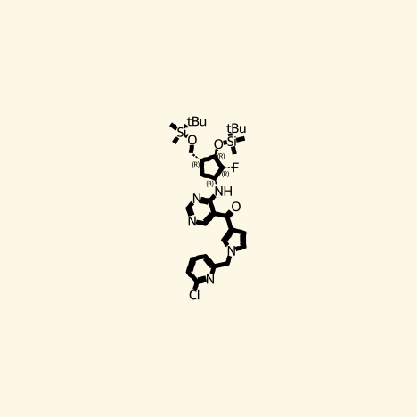 CC(C)(C)[Si](C)(C)OC[C@H]1C[C@@H](Nc2ncncc2C(=O)c2ccn(Cc3cccc(Cl)n3)c2)[C@@H](F)[C@@H]1O[Si](C)(C)C(C)(C)C